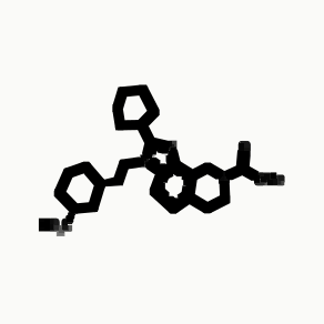 COC(=O)N1CCc2ccc3c(nc(C4CCCCC4)n3CC[C@@H]3CCC[C@@H](C(=O)O)C3)c2C1